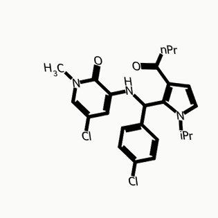 CCCC(=O)c1ccn(C(C)C)c1C(Nc1cc(Cl)cn(C)c1=O)c1ccc(Cl)cc1